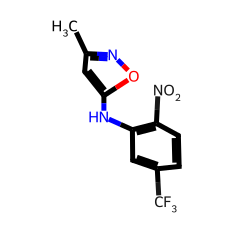 Cc1cc(Nc2cc(C(F)(F)F)ccc2[N+](=O)[O-])on1